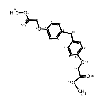 COC(=O)COc1ccc(Cc2ccc(OCC(=O)OC)cc2)cc1